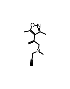 C#CCN(C)CC(=C)c1c(C)noc1C